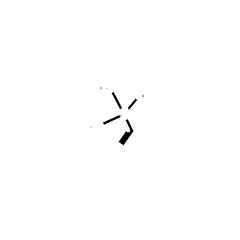 C=C[PH](CCCC)(CCCC)CCCC